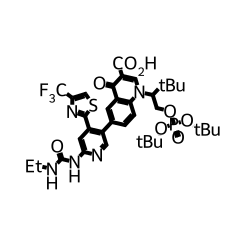 CCNC(=O)Nc1cc(-c2nc(C(F)(F)F)cs2)c(-c2ccc3c(c2)c(=O)c(C(=O)O)cn3C(COP(=O)(OC(C)(C)C)OC(C)(C)C)C(C)(C)C)cn1